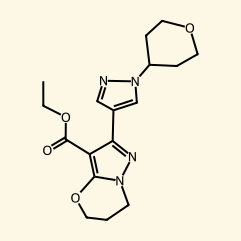 CCOC(=O)c1c(-c2cnn(C3CCOCC3)c2)nn2c1OCCC2